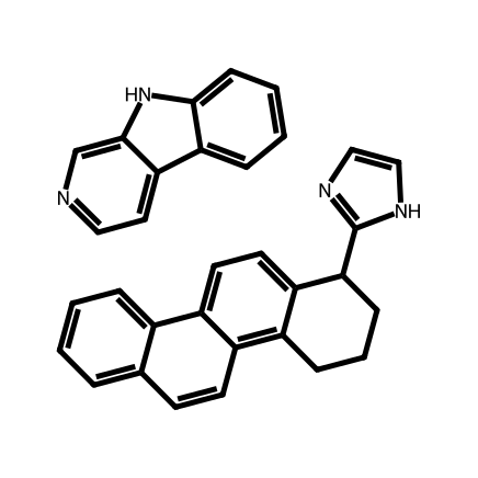 c1ccc2c(c1)[nH]c1cnccc12.c1ccc2c(c1)ccc1c3c(ccc12)C(c1ncc[nH]1)CCC3